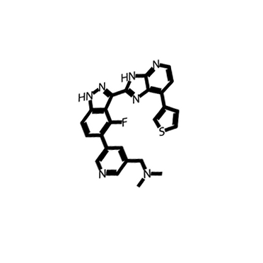 CN(C)Cc1cncc(-c2ccc3[nH]nc(-c4nc5c(-c6ccsc6)ccnc5[nH]4)c3c2F)c1